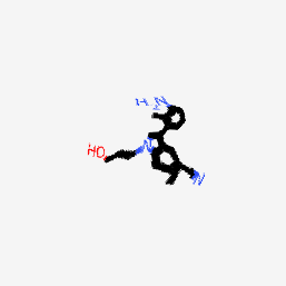 Cc1cc2c(cc1C#N)c(-c1cccc(N)c1C)cn2CCCO